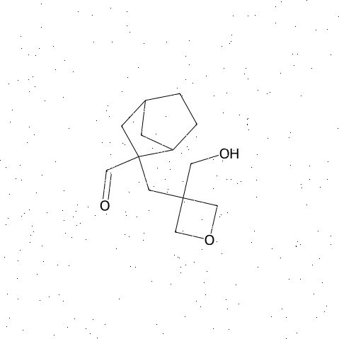 O=CC1(CC2(CO)COC2)CC2CCC1C2